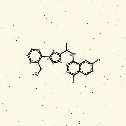 CCc1ccc2c(C)nnc(NC(C)c3ccc(-c4ccccc4CNC)s3)c2c1